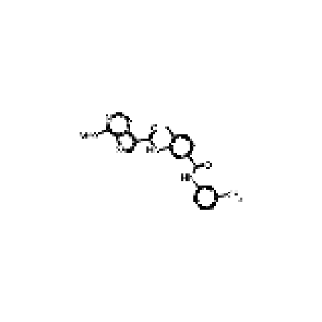 CSc1ncnc2c(C(=O)Nc3cc(C(=O)Nc4cccc(C(F)(F)F)c4)ccc3C)csc12